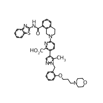 Cc1c(-c2ccc(N3CCc4cccc(C(=O)Nc5nc6ccccc6s5)c4C3)nc2C(=O)O)cnn1Cc1ccccc1OCCCN1CCOCC1